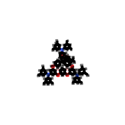 Cc1cc(C)cc(N(c2cc(C)cc(C)c2)c2cc3c4c(c2)Oc2cc5c(cc2B4c2cc(C(C)(C)C)ccc2O3)B2c3cc4c(cc3Oc3cc(N(c6cc(C)cc(C)c6)c6cc(C)cc(C)c6)cc(c32)O5)Oc2cc(N(c3cc(C)cc(C)c3)c3cc(C)cc(C)c3)cc3c2B4c2cc(C(C)(C)C)ccc2O3)c1